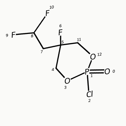 O=P1(Cl)OCC(F)(CC(F)F)CO1